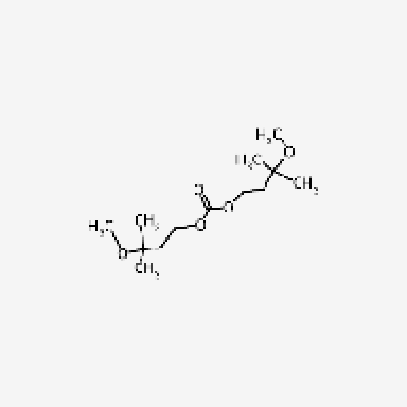 COC(C)(C)CCOC(=O)OCCC(C)(C)OC